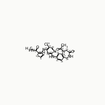 CNC(=O)c1sccc1Nc1nc(Nc2ccc3c(c2)N(C(C)=O)CC(=O)NC3)ncc1Cl